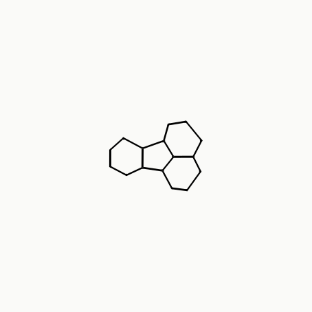 C1CCC2C(C1)C1CCCC3CCCC2C31